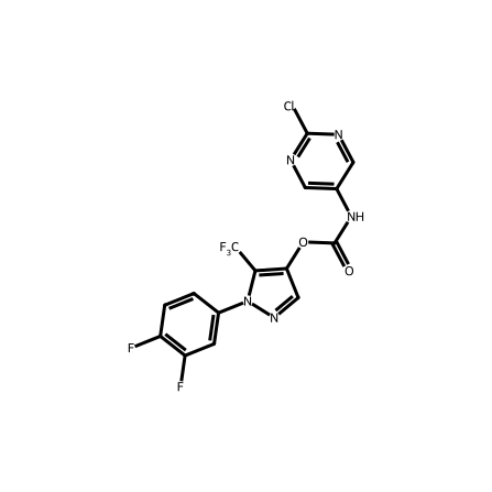 O=C(Nc1cnc(Cl)nc1)Oc1cnn(-c2ccc(F)c(F)c2)c1C(F)(F)F